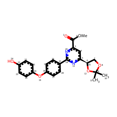 COC(=O)c1cc([C@H]2COC(C)(C)O2)nc(-c2ccc(Oc3ccc(O)cc3)cc2)n1